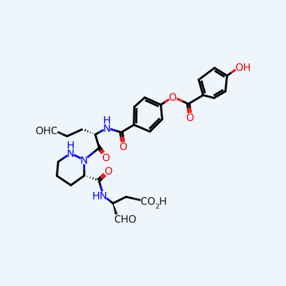 O=CCC[C@H](NC(=O)c1ccc(OC(=O)c2ccc(O)cc2)cc1)C(=O)N1NCCC[C@H]1C(=O)N[C@H](C=O)CC(=O)O